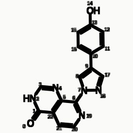 O=c1[nH]cnc2c(-n3cc(-c4ccc(O)cc4)cn3)nccc12